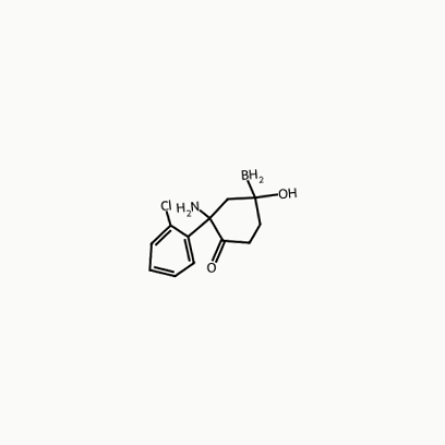 BC1(O)CCC(=O)C(N)(c2ccccc2Cl)C1